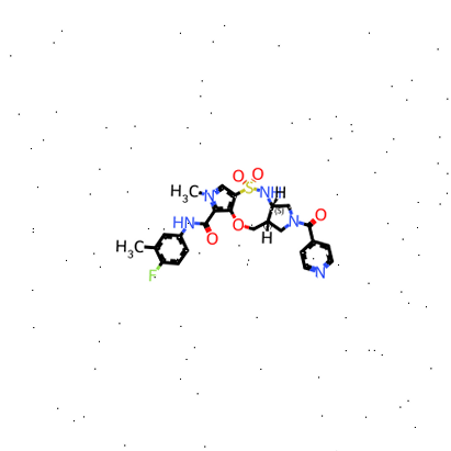 Cc1cc(NC(=O)c2c3c(cn2C)S(=O)(=O)N[C@@H]2CN(C(=O)c4ccncc4)C[C@@H]2CO3)ccc1F